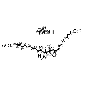 CCCCCCCCC=CCCCCCCCC(=O)OC(C)(C)C(C)(CN)OC(=O)CCCCCCCC=CCCCCCCCC.COS(=O)(=O)O